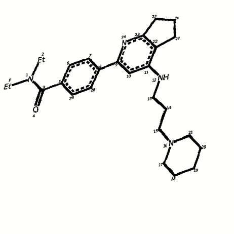 CCN(CC)C(=O)c1ccc(-c2cc(NCCCN3CCCCC3)c3c(n2)CCC3)cc1